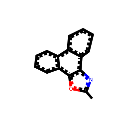 Cc1nc2c3ccccc3c3ccccc3c2o1